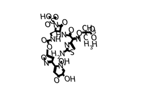 CC(C)(O/N=C(\C(=O)N[C@@H]1C(=O)N(S(=O)(=O)O)[C@@H]1CNC(=O)OCc1cc(C2=CC(=O)C(O)C=[N+]2O)no1)c1csc(N)n1)C(=O)O